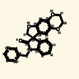 O=C1N(Cc2cnccn2)c2ccccc2[C@]12COc1cc3c(cc12)OCCO3